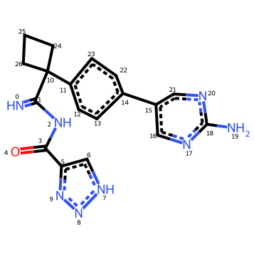 N=C(NC(=O)c1c[nH]nn1)C1(c2ccc(-c3cnc(N)nc3)cc2)CCC1